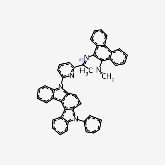 C=Nc1c(/N=C(\C)c2cccc(-n3c4ccccc4c4c5c6ccccc6n(-c6ccccc6)c5ccc43)n2)c2ccccc2c2ccccc12